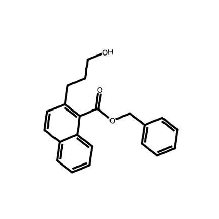 O=C(OCc1ccccc1)c1c(CCCO)ccc2ccccc12